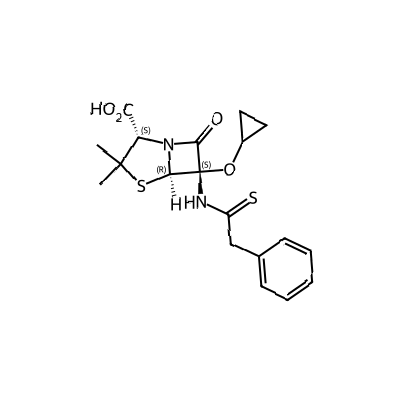 CC1(C)S[C@H]2N(C(=O)[C@]2(NC(=S)Cc2ccccc2)OC2CC2)[C@H]1C(=O)O